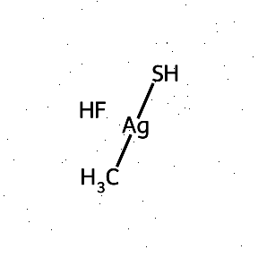 F.[CH3][Ag][SH]